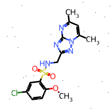 COc1ccc(Cl)cc1S(=O)(=O)NCc1nc2nc(C)cc(C)n2n1